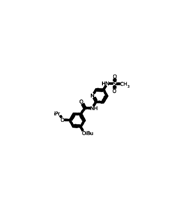 CC(C)COc1cc(OC(C)C)cc(C(=O)Nc2ccc(NS(C)(=O)=O)cn2)c1